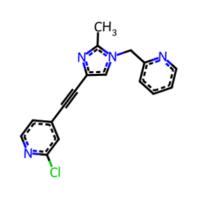 Cc1nc(C#Cc2ccnc(Cl)c2)cn1Cc1ccccn1